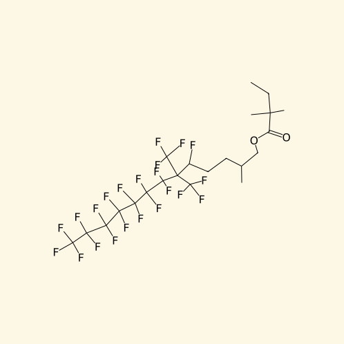 CCC(C)(C)C(=O)OCC(C)CCC(F)C(C(F)(F)F)(C(F)(F)F)C(F)(F)C(F)(F)C(F)(F)C(F)(F)C(F)(F)C(F)(F)C(F)(F)F